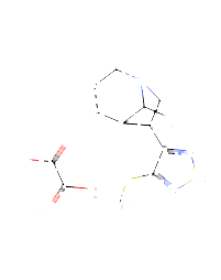 CCCCCCSc1nsnc1C1CN2CCCC1C2C.O=C(O)C(=O)O